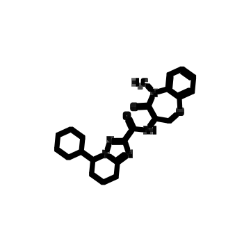 CN1C(=O)C(NC(=O)c2nc3n(n2)C(C2CCCCC2)CCC3)COc2ccccc21